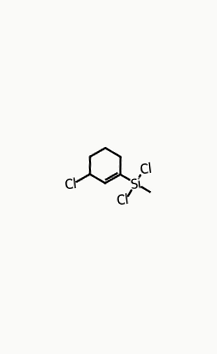 C[Si](Cl)(Cl)C1=CC(Cl)CCC1